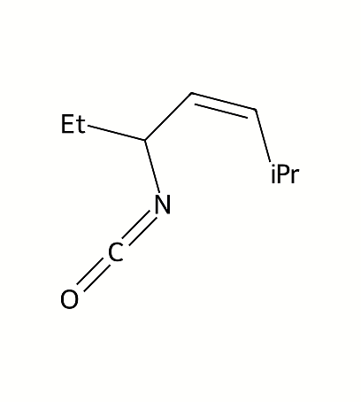 CCC(/C=C\C(C)C)N=C=O